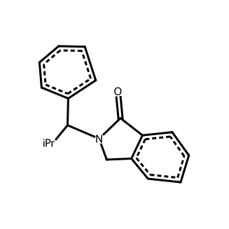 CC(C)C(c1ccccc1)N1Cc2ccccc2C1=O